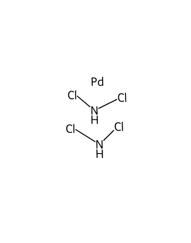 ClNCl.ClNCl.[Pd]